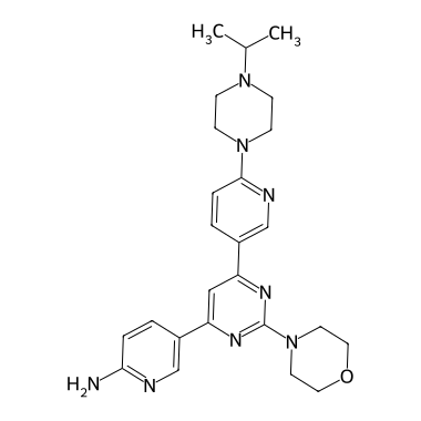 CC(C)N1CCN(c2ccc(-c3cc(-c4ccc(N)nc4)nc(N4CCOCC4)n3)cn2)CC1